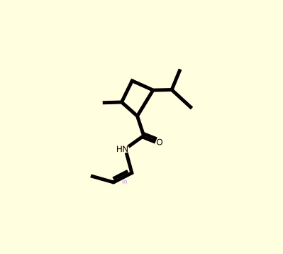 C/C=C\NC(=O)C1C(C)CC1C(C)C